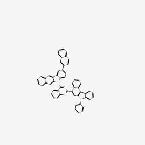 c1ccc(-n2c3ccccc3c3c4ccccc4c(-c4nc(-n5c6ccc(-c7ccc8ccccc8c7)cc6c6cc7ccccc7cc65)c5ccccc5n4)cc32)cc1